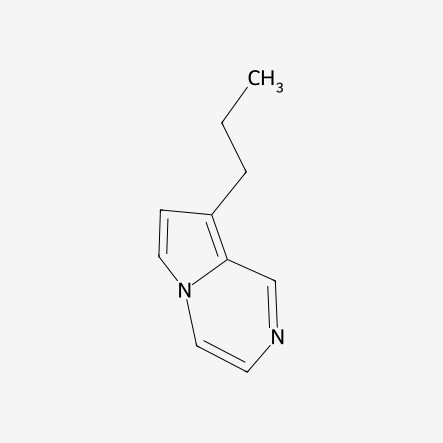 CCCc1ccn2ccncc12